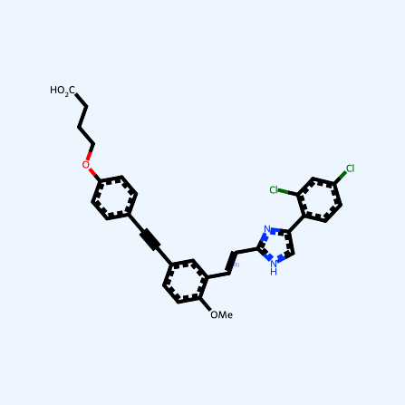 COc1ccc(C#Cc2ccc(OCCCC(=O)O)cc2)cc1/C=C/c1nc(-c2ccc(Cl)cc2Cl)c[nH]1